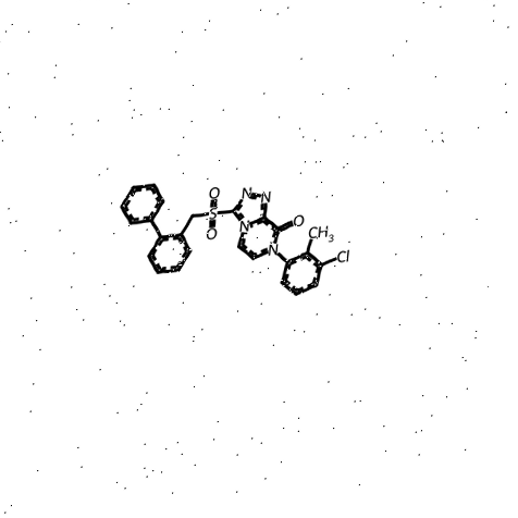 Cc1c(Cl)cccc1-n1ccn2c(S(=O)(=O)Cc3ccccc3-c3ccccc3)nnc2c1=O